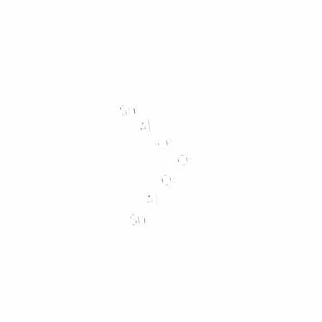 [Al+3].[Al+3].[O-2].[O-2].[O-2].[Sn].[Sn]